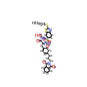 CCCCCCCSc1nc2ccc(S(=O)(=O)N[C@H](CC3=CC=C(CCCN4C(=O)c5ccccc5C4=O)CC3=O)C(=O)NO)cc2s1